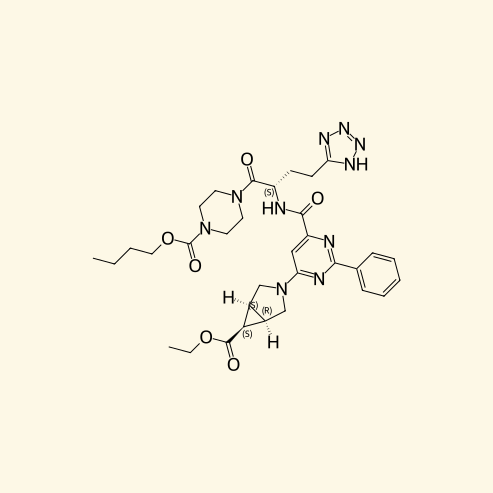 CCCCOC(=O)N1CCN(C(=O)[C@H](CCc2nnn[nH]2)NC(=O)c2cc(N3C[C@@H]4[C@H](C3)[C@@H]4C(=O)OCC)nc(-c3ccccc3)n2)CC1